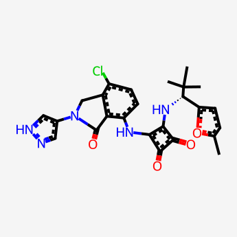 Cc1ccc([C@H](Nc2c(Nc3ccc(Cl)c4c3C(=O)N(c3cn[nH]c3)C4)c(=O)c2=O)C(C)(C)C)o1